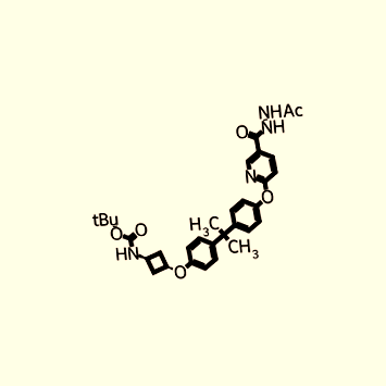 CC(=O)NNC(=O)c1ccc(Oc2ccc(C(C)(C)c3ccc(O[C@H]4C[C@H](NC(=O)OC(C)(C)C)C4)cc3)cc2)nc1